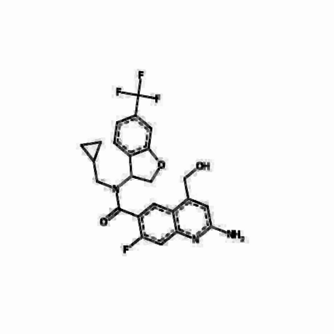 Nc1cc(CO)c2cc(C(=O)N(CC3CC3)C3COc4cc(C(F)(F)F)ccc43)c(F)cc2n1